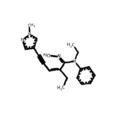 CCC(=C/C#Cc1cnn(C)c1)/C(=N\O)N(CC)c1ccccc1